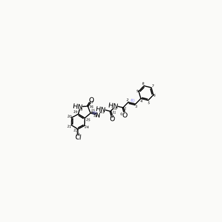 O=C(/C=C/c1ccccc1)NC(=O)N/N=C1\C(=O)Nc2ccc(Cl)cc21